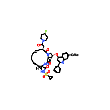 COc1ccc2c(O[C@@H]3C[C@H]4C(=O)N[C@]5(C(=O)NS(=O)(=O)C6CC6)C[C@H]5C=CCCCCC[C@H](CC(=O)N5CCC(F)CC5)C(=O)N4C3)cc(-c3ccccc3)nc2c1